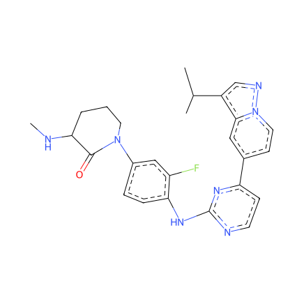 CNC1CCCN(c2ccc(Nc3nccc(-c4ccn5ncc(C(C)C)c5c4)n3)c(F)c2)C1=O